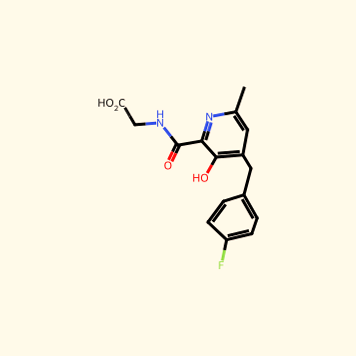 Cc1cc(Cc2ccc(F)cc2)c(O)c(C(=O)NCC(=O)O)n1